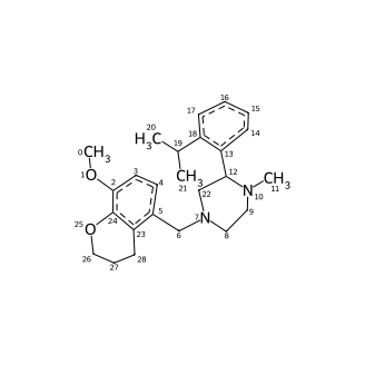 COc1ccc(CN2CCN(C)C(c3ccccc3C(C)C)C2)c2c1OCCC2